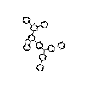 c1ccc(-c2ccc(N(c3ccc(-c4ccccc4)cc3)c3ccc(-c4cc(-c5nc(-c6ccccc6)nc(-c6ccccc6)n5)cc5sc6ccccc6c45)cc3)cc2)cc1